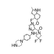 Cc1cc2c(F)c(Oc3ncnc(Nc4ccc(N5CCNCC5)cc4)c3C(=O)N3CC(F)(F)C3)ccc2[nH]1